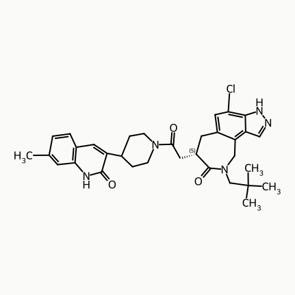 Cc1ccc2cc(C3CCN(C(=O)C[C@@H]4Cc5cc(Cl)c6[nH]ncc6c5CN(CC(C)(C)C)C4=O)CC3)c(=O)[nH]c2c1